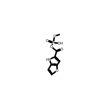 COP(=O)(O)OC(=O)c1cc2occc2[nH]1